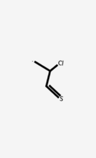 [CH2]C(Cl)C=S